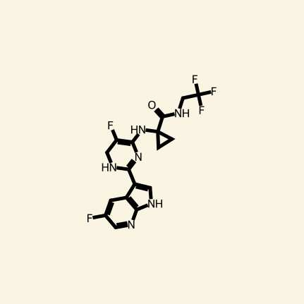 O=C(NCC(F)(F)F)C1(NC2=C(F)CNC(c3c[nH]c4ncc(F)cc34)=N2)CC1